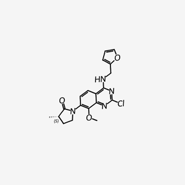 COc1c(N2CC[C@H](C)C2=O)ccc2c(NCc3ccco3)nc(Cl)nc12